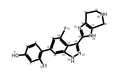 CCc1cc(O)ccc1-c1cc(F)c2c(-c3nc4c([nH]3)CNCC4)n[nH]c2c1